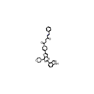 O=C(/C=C/c1ccccc1)CCC(=O)N1CC=C(c2cc3nc(-c4cccc5[nH]ncc45)nc(N4CCOCC4)c3s2)CC1